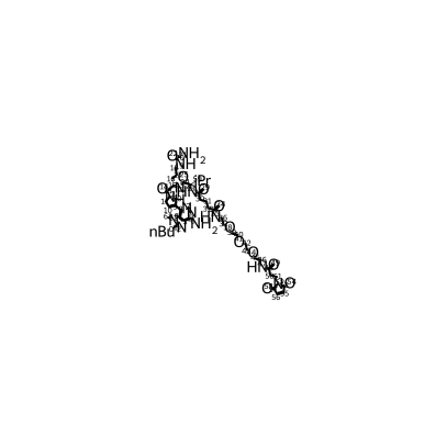 CCCCc1nc2c(N)nnc(C3=CCN(C(=O)[C@H](CCCNC(N)=O)NC(=O)[C@@H](NC(=O)CCCC(=O)NCCOCCOCCOCCNC(=O)CCN4C(=O)C=CC4=O)C(C)C)C3)c2n1C